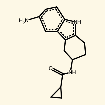 Nc1ccc2[nH]c3c(c2c1)CC(NC(=O)C1CC1)CC3